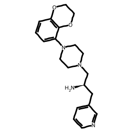 N[C@H](Cc1cccnc1)CN1CCN(c2cccc3c2OCCO3)CC1